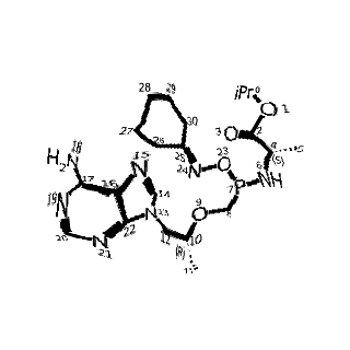 CC(C)OC(=O)[C@H](C)NP(CO[C@H](C)Cn1cnc2c(N)ncnc21)ON=C1CCCCC1